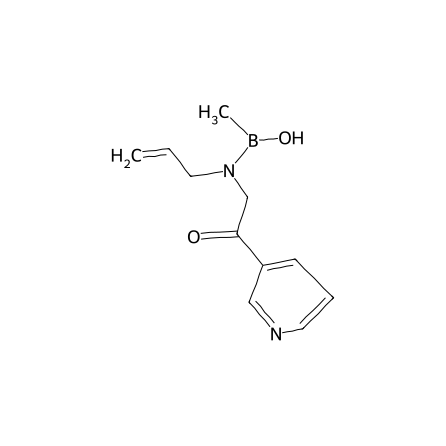 C=CCN(CC(=O)c1cccnc1)B(C)O